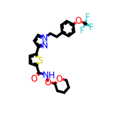 O=C(NOC1CCCCO1)c1ccc(-c2ccn(CCc3ccc(OC(F)(F)F)cc3)n2)s1